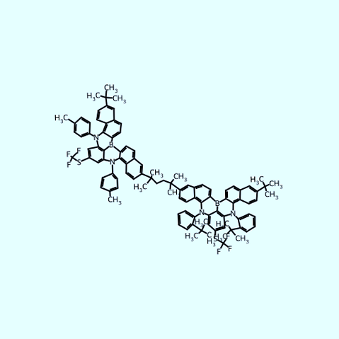 Cc1ccc(N2c3cc(SC(F)(F)F)cc4c3B(c3ccc5cc(C(C)(C)C)ccc5c32)c2ccc3cc(C(C)(C)CCC(C)(C)c5ccc6c7c(ccc6c5)B5c6ccc8cc(C(C)(C)C)ccc8c6N(c6ccccc6C(C)(C)C)c6cc(SC(F)(F)F)cc(c65)N7c5ccccc5C(C)(C)C)ccc3c2N4c2ccc(C)cc2)cc1